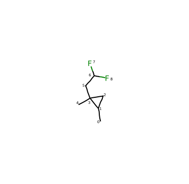 CC1CC1(C)CC(F)F